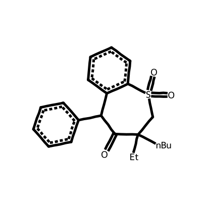 CCCCC1(CC)CS(=O)(=O)c2ccccc2C(c2ccccc2)C1=O